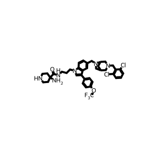 NC1(C(=O)NCCCn2cc(-c3ccc(OC(F)(F)F)cc3)c3cc(CN4CC5CC4CN(Cc4c(Cl)cccc4Cl)C5)ccc32)CCNCC1